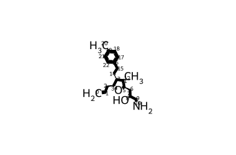 C=CC[C@@H]1O[C@H](C[C@H](O)CN)[C@H](C)[C@H]1CCc1ccc(C)cc1